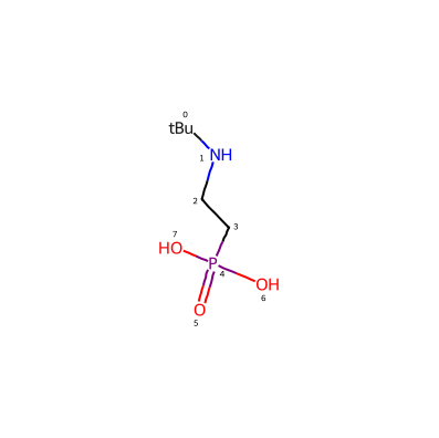 CC(C)(C)NCCP(=O)(O)O